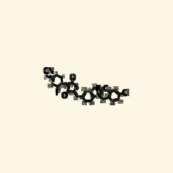 N#CCN1CCC(N2C(=O)SC(=Cc3ccc4c(cnn4Cc4ccc(Cl)cc4C(F)(F)F)c3)C2=O)C(F)C1